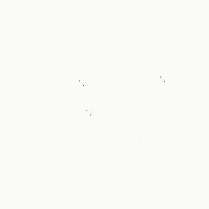 C1=NC=C(c2ccnc(-n3c4ccccc4c4ccc5sccc5c43)c2)CC1